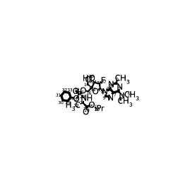 Cc1nc(N(C)C)c2ncn([C@@H]3O[C@](CCl)(CO[P@](=O)(N[C@H](C)C(=O)OC(C)C)Oc4ccccc4)[C@@H](O)[C@H]3F)c2n1